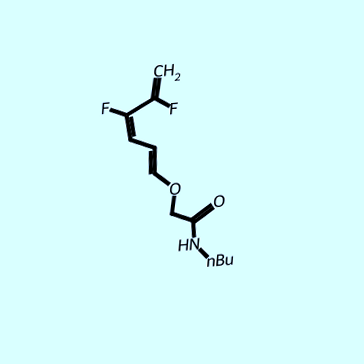 C=C(F)/C(F)=C\C=C\OCC(=O)NCCCC